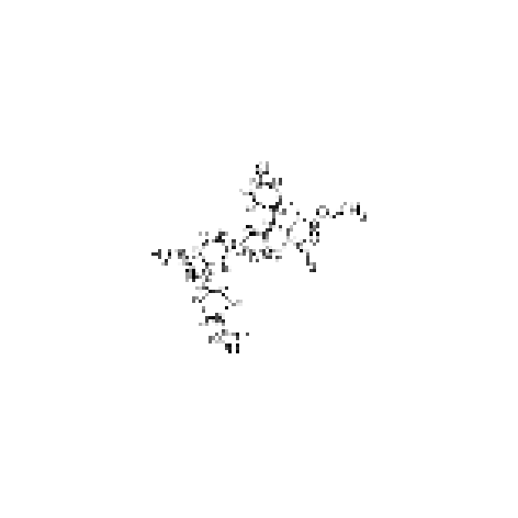 CCOC(=O)Cc1c(C)cc2nc(-c3ccc4c(c3)c(C3CCN(C5COC5)CC3)nn4C)sc2c1-c1ccc(Cl)cc1